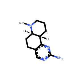 CCCN1CCC[C@@H]2c3nc(N)ncc3CC[C@H]21